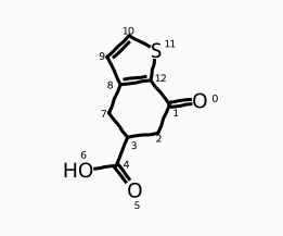 O=C1CC(C(=O)O)Cc2ccsc21